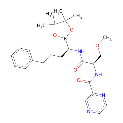 COC[C@@H](NC(=O)c1cnccn1)C(=O)N[C@@H](CCCc1ccccc1)B1OC(C)(C)C(C)(C)O1